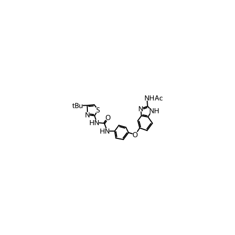 CC(=O)Nc1nc2cc(Oc3ccc(NC(=O)Nc4nc(C(C)(C)C)cs4)cc3)ccc2[nH]1